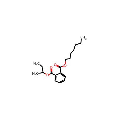 CCCCCCCOC(=O)c1ccccc1C(=O)OC(C)CC